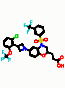 O=C(O)CCC1CN(S(=O)(=O)c2cccc(C(F)(F)F)c2)c2cc(N3CC(c4c(Cl)cccc4OC(F)(F)F)C3)ccc2O1